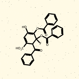 O=C(O)C1=CC(O)=C(OC(=O)c2ccccc2)C(F)(OC(=O)c2ccccc2)C1C(=O)c1ccccc1